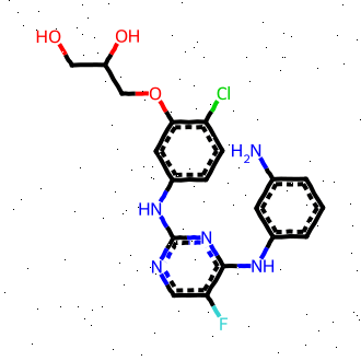 Nc1cccc(Nc2nc(Nc3ccc(Cl)c(OCC(O)CO)c3)ncc2F)c1